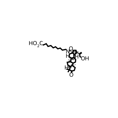 C=C(CO)[C@@H]1CC[C@]2(C(=O)NCCCCCCCCCCC(=O)O)CC[C@]3(C)[C@H](CCC4[C@@]5(C)CCC(=O)C(C)(C)[C@@H]5CC[C@]43C)[C@@H]12